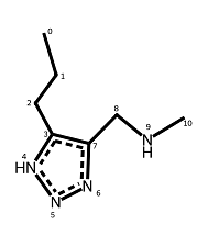 CCCc1[nH]nnc1CNC